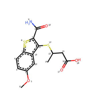 COc1ccc2sc(C(N)=O)c(SC(C)CC(=O)O)c2c1